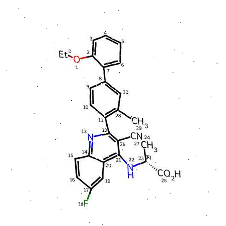 CCOc1ccccc1-c1ccc(-c2nc3ccc(F)cc3c(N[C@H](C)C(=O)O)c2C#N)c(C)c1